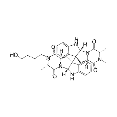 C[C@H]1C(=O)N2[C@H]3Nc4ccccc4[C@]3([C@]34C[C@H]5C(=O)N(CCCCO)[C@@H](C)C(=O)N5[C@H]3Nc3ccccc34)C[C@H]2C(=O)N1C